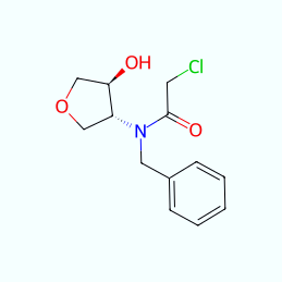 O=C(CCl)N(Cc1ccccc1)[C@@H]1COC[C@H]1O